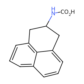 O=C(O)NC1Cc2cccc3cccc(c23)C1